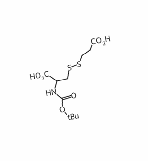 CC(C)(C)OC(=O)NC(CSSCCC(=O)O)C(=O)O